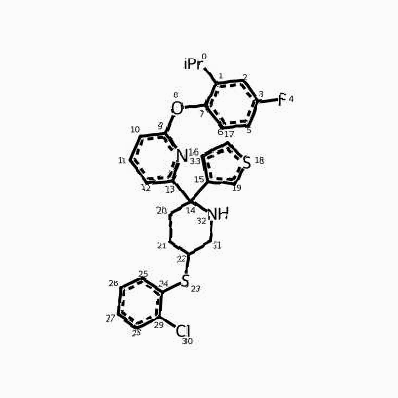 CC(C)c1cc(F)ccc1Oc1cccc(C2(c3ccsc3)CCC(Sc3ccccc3Cl)CN2)n1